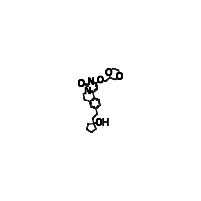 O=c1nc(OCC2COCCO2)cc2n1CCc1cc(CCC3(O)CCCC3)ccc1-2